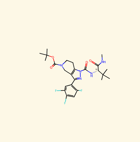 CNC(=O)[C@@H](NC(=O)n1nc(-c2cc(F)c(F)cc2F)c2c1CCN(C(=O)OC(C)(C)C)C2)C(C)(C)C